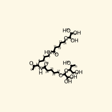 CC(=O)[C@@H](CCCCNC(=O)CCCCOC(O)C(O)O)NC(=O)CCCCOC(OC(CO)C(C)O)C(O)O